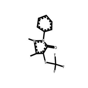 Cc1c(SC(F)(F)F)c(=O)n(-c2ccccc2)n1C